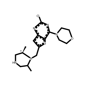 CC1CNC[C@@H](C)N1Cc1cc2nc(Cl)nc(N3CCOCC3)c2s1